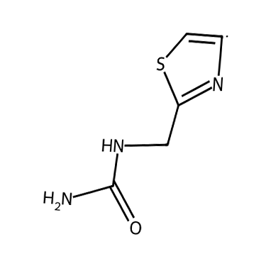 NC(=O)NCc1n[c]cs1